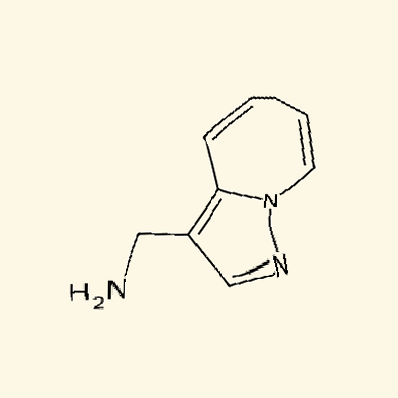 NCc1cnn2ccccc12